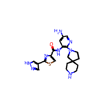 Nc1cnc(N2CCC3(CCNCC3)C2)c(NC(=O)c2csc(-c3cn[nH]c3)n2)c1